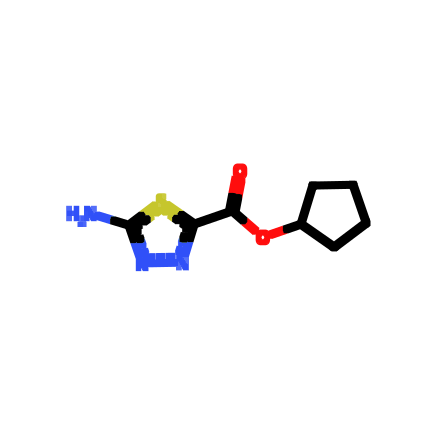 Nc1nnc(C(=O)OC2CCCC2)s1